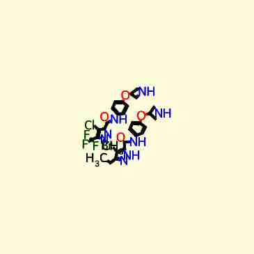 CCc1n[nH]c(C(=O)Nc2ccc(OC3CNC3)cc2)c1Br.Cn1nc(C(=O)Nc2ccc(OC3CNC3)cc2)c(Cl)c1C(F)(F)F